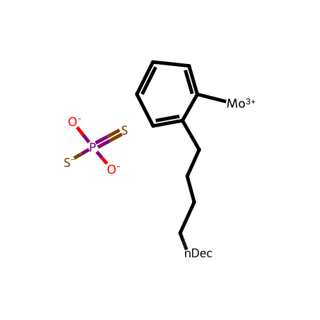 CCCCCCCCCCCCCCc1cccc[c]1[Mo+3].[O-]P([O-])(=S)[S-]